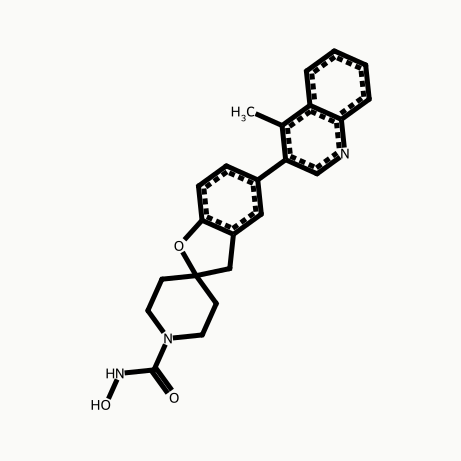 Cc1c(-c2ccc3c(c2)CC2(CCN(C(=O)NO)CC2)O3)cnc2ccccc12